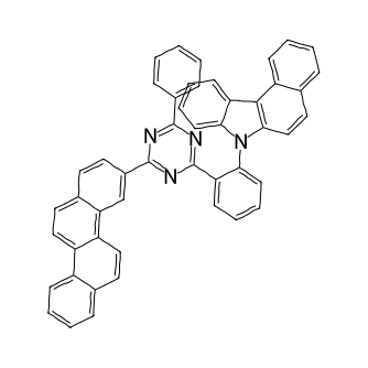 c1ccc(-c2nc(-c3ccc4ccc5c6ccccc6ccc5c4c3)nc(-c3ccccc3-n3c4ccccc4c4c5ccccc5ccc43)n2)cc1